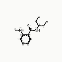 CCC(CC)NC(=S)c1ccccc1NC